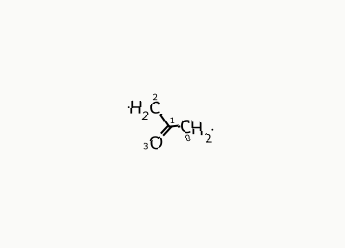 [CH2]C([CH2])=O